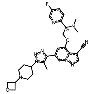 Cc1c(-c2cc(OC[C@@H](c3ccc(F)cn3)N(C)C)c3c(C#N)cnn3c2)nnn1C1CCN(C2COC2)CC1